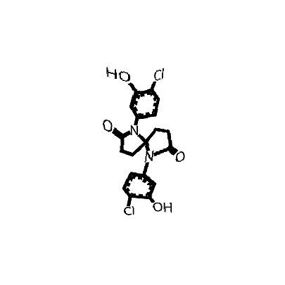 O=C1CCC2(CCC(=O)N2c2ccc(Cl)c(O)c2)N1c1ccc(Cl)c(O)c1